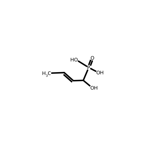 CC=CC(O)P(=O)(O)O